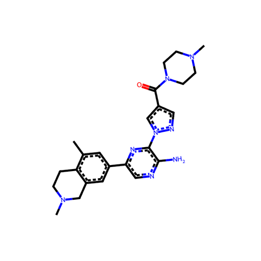 Cc1cc(-c2cnc(N)c(-n3cc(C(=O)N4CCN(C)CC4)cn3)n2)cc2c1CCN(C)C2